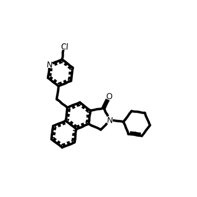 O=C1c2cc(Cc3ccc(Cl)nc3)c3ccccc3c2CN1C1C=CCCC1